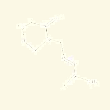 CC(=O)/C=C/CN1CCOCC1=O